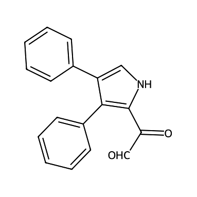 O=CC(=O)c1[nH]cc(-c2ccccc2)c1-c1ccccc1